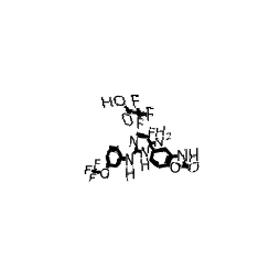 NC1(c2ccc3oc(=O)[nH]c3c2)NC(Nc2cccc(OC(F)(F)F)c2)=NC=C1F.O=C(O)C(F)(F)F